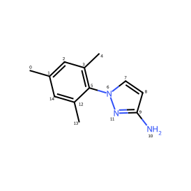 Cc1cc(C)c(-n2ccc(N)n2)c(C)c1